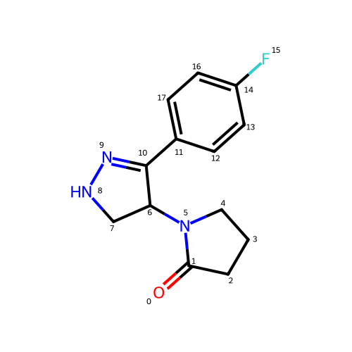 O=C1CCCN1C1CNN=C1c1ccc(F)cc1